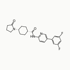 O=C1CCCN1[C@H]1CC[C@@H](C(=O)Nc2ccc(-c3cc(F)cc(F)c3)cn2)CC1